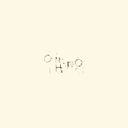 Cl.OC(CNC1CCCc2ccccc21)COc1cccc2c1CCCC2